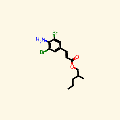 CCCC(C)COC(=O)C=Cc1cc(Br)c(N)c(Br)c1